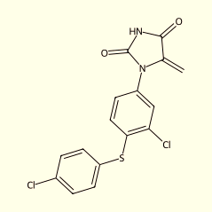 C=C1C(=O)NC(=O)N1c1ccc(Sc2ccc(Cl)cc2)c(Cl)c1